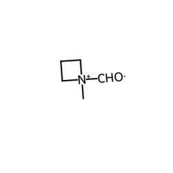 C[N+]1([C]=O)CCC1